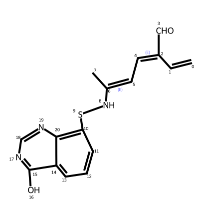 C=C/C(C=O)=C\C=C(/C)NSc1cccc2c(O)ncnc12